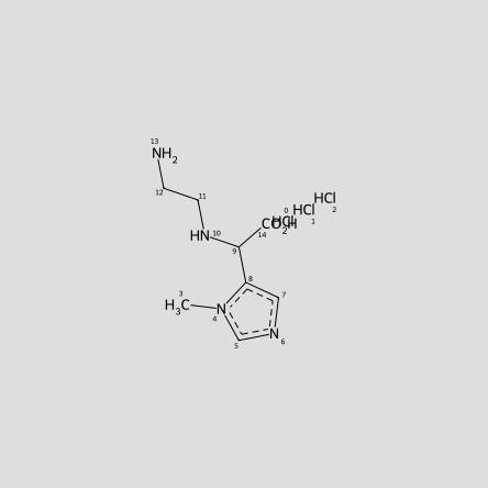 Cl.Cl.Cl.Cn1cncc1C(NCCN)C(=O)O